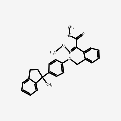 CNC(=O)C(=NOC)c1ccccc1COc1ccc(C2(C)CCc3ccccc32)cc1